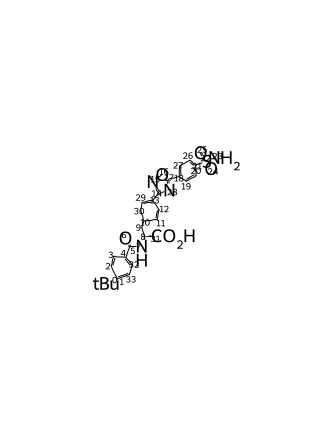 CC(C)(C)c1ccc(C(=O)N[C@@H](CC2C=CC(c3noc(-c4ccc(S(N)(=O)=O)cc4)n3)=CC2)C(=O)O)cc1